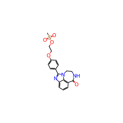 CS(=O)(=O)OCCOc1ccc(-c2nc3cccc4c3n2CCNC4=O)cc1